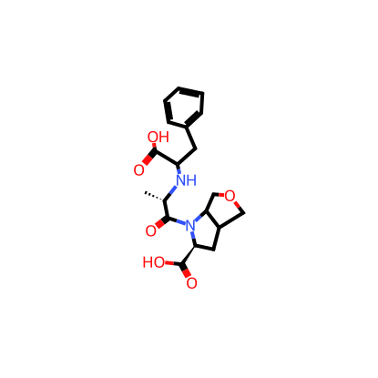 C[C@H](NC(Cc1ccccc1)C(=O)O)C(=O)N1C2COCC2C[C@H]1C(=O)O